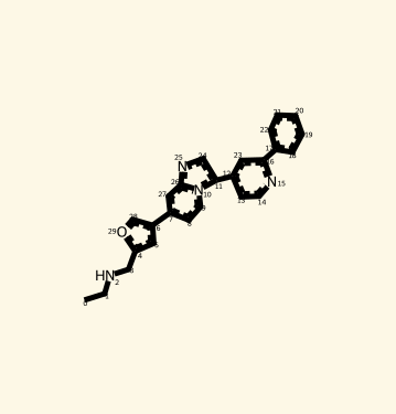 CCNCc1cc(-c2ccn3c(-c4ccnc(-c5ccccc5)c4)cnc3c2)co1